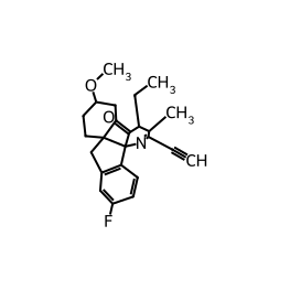 C#CC1=NC2(C(=O)C(CC)C1C)c1ccc(F)cc1CC21CCC(OC)CC1